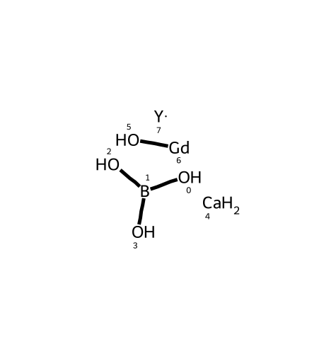 OB(O)O.[CaH2].[OH][Gd].[Y]